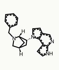 c1ccc(CN2C[C@H]3C[C@@H](n4ccc5cnc6[nH]ccc6c54)[C@@H]2C3)cc1